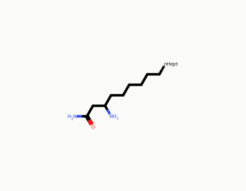 CCCCCCCCCCCCCC(N)CC(N)=O